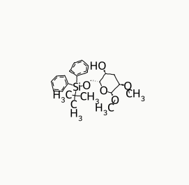 CO[C@H]1O[C@H](CO[Si](c2ccccc2)(c2ccccc2)C(C)(C)C)[C@@H](O)C[C@H]1OC